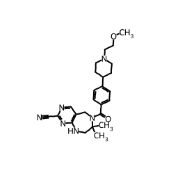 COCCN1CCC(c2ccc(C(=O)N3Cc4cnc(C#N)nc4NCC3(C)C)cc2)CC1